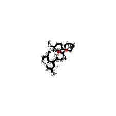 COC1CCC(CN2C3CC2CN(c2cnc(-c4cc(O)cn5ncc(C#N)c45)cn2)C3)C=N1